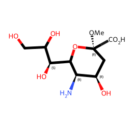 CO[C@]1(C(=O)O)C[C@@H](O)[C@@H](N)C([C@@H](O)C(O)CO)O1